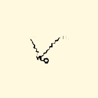 CCCCCCCCCCCCCC1N(CCCCCCCCC)C=CN1Cc1ccccc1